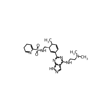 CC1C=CC(c2nc(NCCN(C)C)c3cn[nH]c3n2)=C[C@H]1CNS(=O)(=O)C1=CCCC=N1